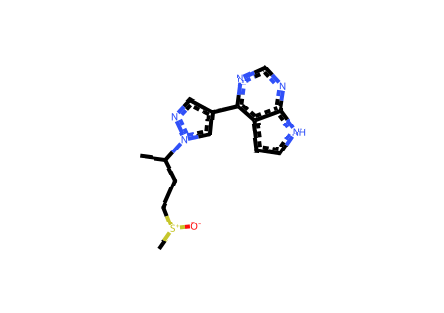 CC(CC[S+](C)[O-])n1cc(-c2ncnc3[nH]ccc23)cn1